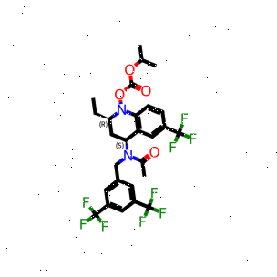 CC[C@@H]1C[C@H](N(Cc2cc(C(F)(F)F)cc(C(F)(F)F)c2)C(C)=O)c2cc(C(F)(F)F)ccc2N1OC(=O)OC(C)C